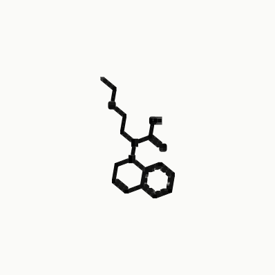 CCOCCN(C(=O)O)N1CC=Cc2ccccc21